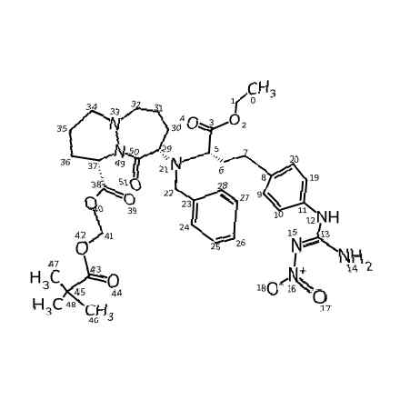 CCOC(=O)[C@H](CCc1ccc(NC(N)=N[N+](=O)[O-])cc1)N(Cc1ccccc1)[C@H]1CCCN2CCC[C@@H](C(=O)OCOC(=O)C(C)(C)C)N2C1=O